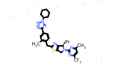 Cc1cc(C(F)(F)F)nc(N2Cc3sc(Cc4ccc(-c5nnn(C6CCCCC6)n5)cc4C)nc3[C@H]2C(C)C)n1